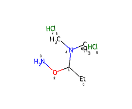 CCC(ON)N(C)C.Cl.Cl